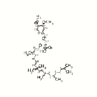 C=C(CC=C(C)CCC=C(C)C)CCC(C)(C)C=CCCC(C)=CCO[C@H](COCc1ccc(OC)c(OC)c1)C(=O)O